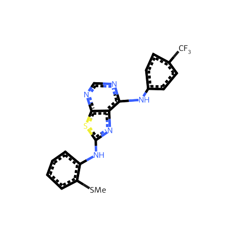 CSc1ccccc1Nc1nc2c(Nc3ccc(C(F)(F)F)cc3)ncnc2s1